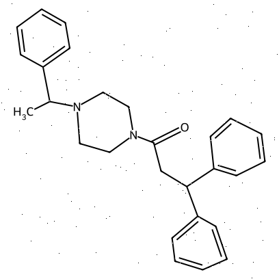 CC(c1ccccc1)N1CCN(C(=O)CC(c2ccccc2)c2ccccc2)CC1